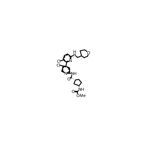 COC(=O)N[C@H]1CC[C@@H](C(=O)Nc2cc(-c3nc(NCC4CCOCC4)ccc3Cl)c(Cl)cn2)C1